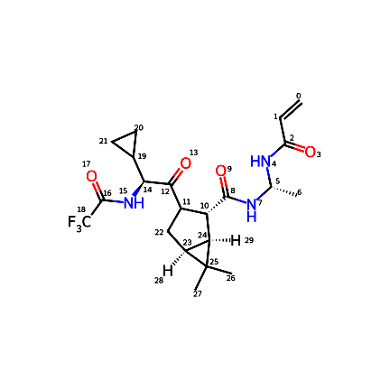 C=CC(=O)N[C@H](C)NC(=O)[C@H]1C(C(=O)[C@@H](NC(=O)C(F)(F)F)C2CC2)C[C@H]2[C@@H]1C2(C)C